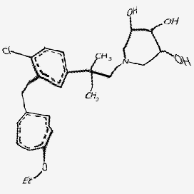 CCOc1ccc(Cc2cc(C(C)(C)CN3CC(O)C(O)C(O)C3)ccc2Cl)cc1